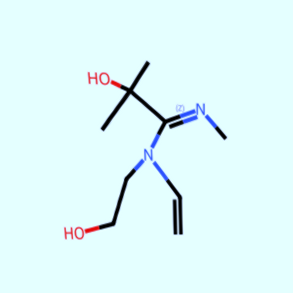 C=CN(CCO)/C(=N\C)C(C)(C)O